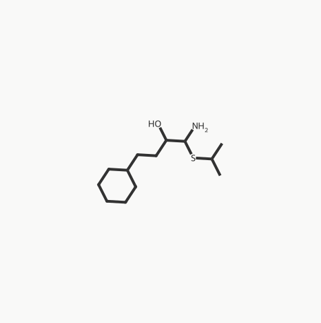 CC(C)SC(N)C(O)CCC1CCCCC1